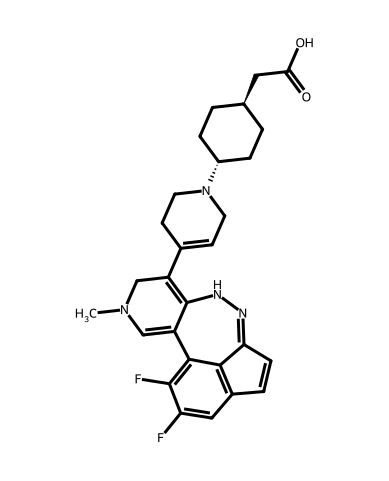 CN1C=C2C(=C(C3=CCN([C@H]4CC[C@H](CC(=O)O)CC4)CC3)C1)NN=C1C=Cc3cc(F)c(F)c2c31